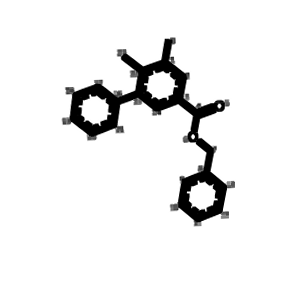 Cc1cc(C(=O)OCc2ccccc2)cc(-c2ccccc2)c1C